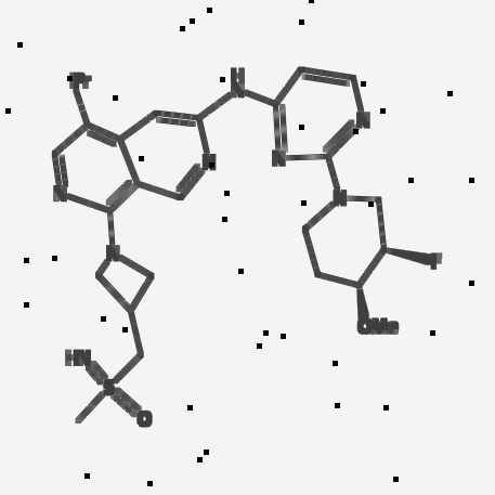 CO[C@H]1CCN(c2nccc(Nc3cc4c(C(C)C)cnc(N5CC(CS(C)(=N)=O)C5)c4cn3)n2)C[C@H]1F